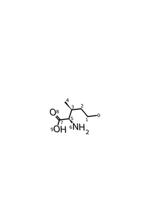 CCC[C@H](C)[C@@H](N)C(=O)O